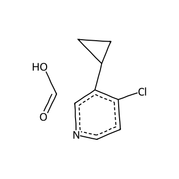 Clc1ccncc1C1CC1.O=CO